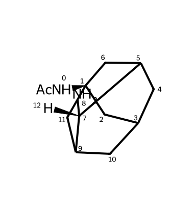 CC(=O)N[C@]12CC3CC(C1)[C@@H](N)C(C3)C2